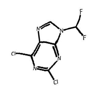 FC(F)n1cnc2c(Cl)nc(Cl)nc21